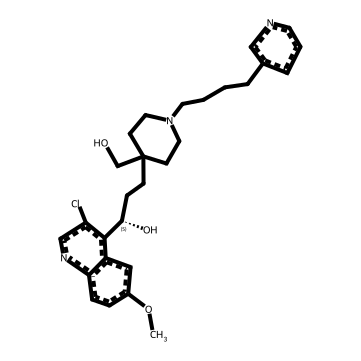 COc1ccc2ncc(Cl)c([C@@H](O)CCC3(CO)CCN(CCCCc4cccnc4)CC3)c2c1